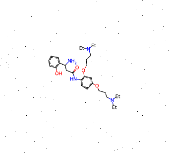 CCN(CC)CCCOc1ccc(NC(=O)CC(N)c2ccccc2O)c(OCCCN(CC)CC)c1